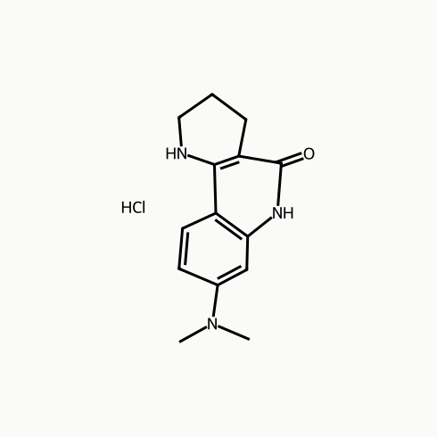 CN(C)c1ccc2c3c(c(=O)[nH]c2c1)CCCN3.Cl